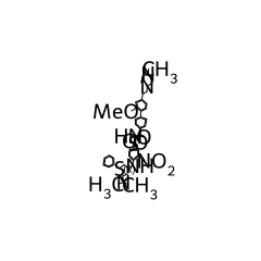 COc1cc(CCN2CCN(C)CC2)ccc1-c1ccc(C(=O)NS(=O)(=O)c2ccc(N[C@H](CCN(C)C)CSc3ccccc3)c([N+](=O)[O-])c2)cc1